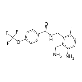 Cc1ccc(N)c(CN)c1CNC(=O)c1ccc(OC(F)(F)F)cc1